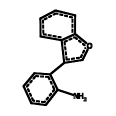 Nc1ccccc1-c1coc2ccccc12